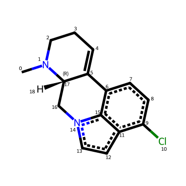 CN1CCC=C2c3ccc(Cl)c4ccn(c34)C[C@@H]21